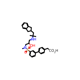 CN(CC(O)CNC(C)(C)CC1Cc2ccccc2C1)S(=O)(=O)c1cccc(-c2ccc(CC(=O)O)cc2)c1